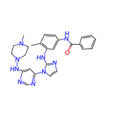 Cc1ccc(NC(=O)c2ccccc2)cc1Nc1nccn1-c1cc(NN2CCN(C)CC2)ncn1